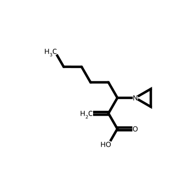 C=C(C(=O)O)C(CCCCC)N1CC1